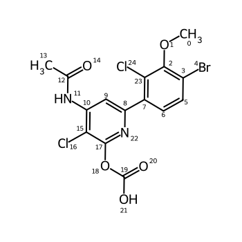 COc1c(Br)ccc(-c2cc(NC(C)=O)c(Cl)c(OC(=O)O)n2)c1Cl